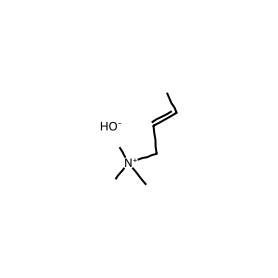 CC=CC[N+](C)(C)C.[OH-]